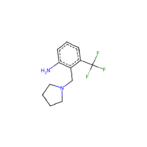 Nc1cccc(C(F)(F)F)c1CN1CCCC1